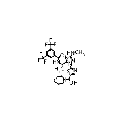 CNc1nc([C@H](C)NC(=O)c2cc(C(F)(F)F)cc(C(F)(F)F)c2)n(-c2ncc(C(O)N3CCOCC3)s2)n1